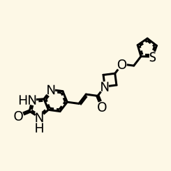 O=C(/C=C/c1cnc2[nH]c(=O)[nH]c2c1)N1CC(OCc2cccs2)C1